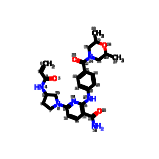 C=CC(=O)NC1CCN(c2ccc(C(N)=O)c(Nc3ccc(C(=O)N4CC(C)OC(C)C4)cc3)n2)C1